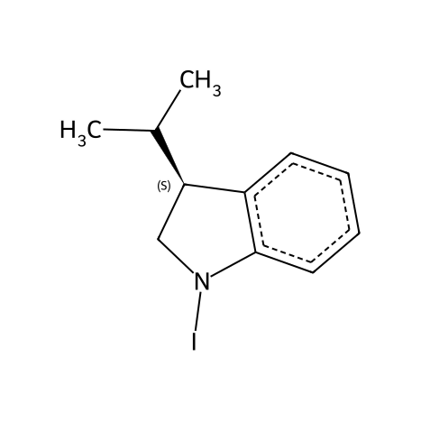 CC(C)[C@@H]1CN(I)c2ccccc21